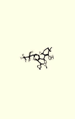 COC(OC)c1nc(C(F)(F)C(F)(F)F)ccc1C(=O)C1=C(O)C(C)(C)CCC1=O